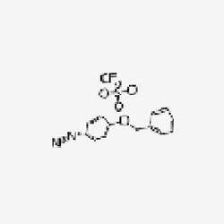 N#[N+]c1ccc(OCc2ccccc2)cc1.O=S(=O)([O-])C(F)(F)F